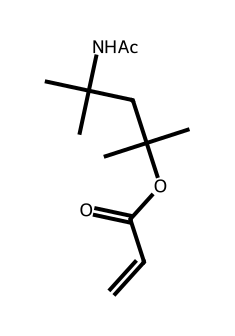 C=CC(=O)OC(C)(C)CC(C)(C)NC(C)=O